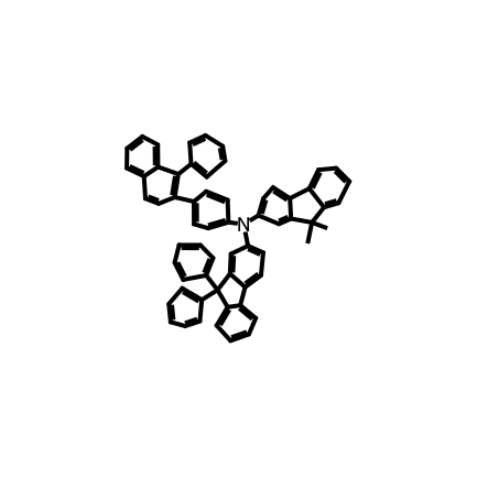 CC1(C)c2ccccc2-c2ccc(N(c3ccc(-c4ccc5ccccc5c4-c4ccccc4)cc3)c3ccc4c(c3)C(c3ccccc3)(c3ccccc3)c3ccccc3-4)cc21